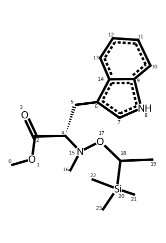 COC(=O)[C@H](Cc1c[nH]c2ccccc12)N(C)OC(C)[Si](C)(C)C